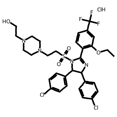 CCOc1cc(C(F)(F)F)ccc1C1=NC(c2ccc(Cl)cc2)C(c2ccc(Cl)cc2)N1S(=O)(=O)CCN1CCN(CCO)CC1.Cl